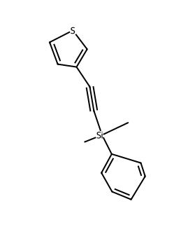 C[Si](C)(C#Cc1ccsc1)c1ccccc1